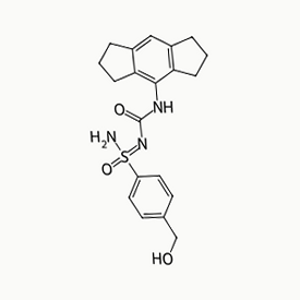 NS(=O)(=NC(=O)Nc1c2c(cc3c1CCC3)CCC2)c1ccc(CO)cc1